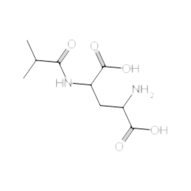 CC(C)C(=O)NC(CC(N)C(=O)O)C(=O)O